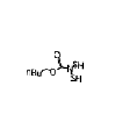 CCCCCOC(=O)N(S)S